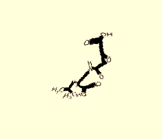 CC(C)C[C@H](NC(=O)C1OC1C(=O)O)C(=O)O